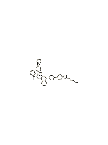 CCCCCCOc1ccc(-c2ccc(-c3cc4c(c5ccccc35)C=CC(c3ccc(N5CCCC5)cc3)(c3ccccc3F)O4)cc2)cc1